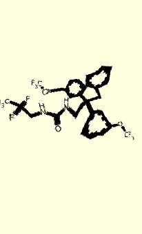 CC(F)(F)CNC(=O)NCC(Cc1ccccc1)(c1cccc(OC(F)(F)F)c1)c1cccc(OC(F)(F)F)c1